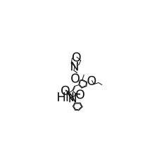 CCCOc1ccc(C=C2C(=O)NN(c3ccccc3)C2=O)c(OCCN2CCOCC2)c1C